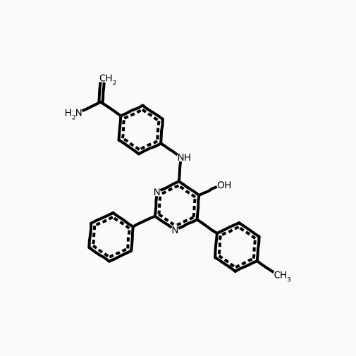 C=C(N)c1ccc(Nc2nc(-c3ccccc3)nc(-c3ccc(C)cc3)c2O)cc1